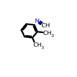 C#N.Cc1ccccc1C